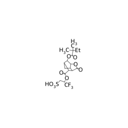 CCC(C)(C)C(=O)OC1C2CC3C1OC(=O)C3C2C(=O)OC(CS(=O)(=O)O)C(F)(F)F